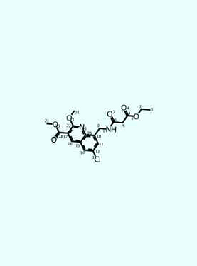 CCOC(=O)CC(=O)NCc1cc(Cl)cc2cc(C(=O)OC)c(OC)nc12